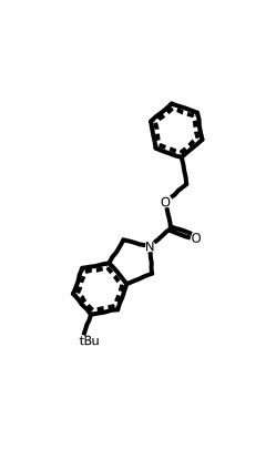 CC(C)(C)c1ccc2c(c1)CN(C(=O)OCc1ccccc1)C2